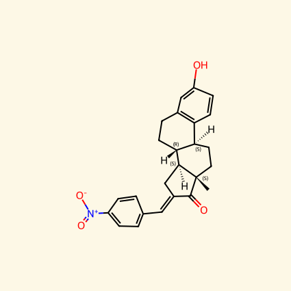 C[C@]12CC[C@@H]3c4ccc(O)cc4CC[C@H]3[C@@H]1CC(=Cc1ccc([N+](=O)[O-])cc1)C2=O